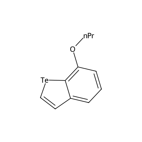 CCCOc1cccc2cc[te]c12